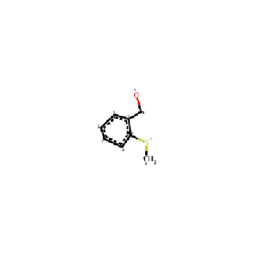 CSc1ccccc1C[O]